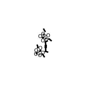 CCOP(=O)(OCC)C(=O)OC(C)C#CC(C)OC(=O)P(=O)(OCC)OCC